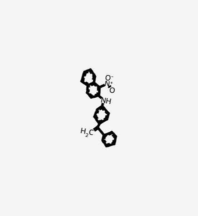 C=C(c1ccccc1)c1ccc(Nc2ccc3ccccc3c2[N+](=O)[O-])cc1